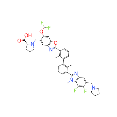 Cc1c(-c2nc3cc(CN4CCC[C@H]4C(=O)O)c(OC(F)F)cc3o2)cccc1-c1cccc(-c2nc3cc(CN4CCCC4)c(F)c(F)c3n2C)c1C